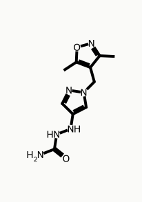 Cc1noc(C)c1Cn1cc(NNC(N)=O)cn1